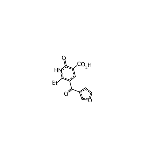 CCc1[nH]c(=O)c(C(=O)O)cc1C(=O)c1ccoc1